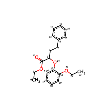 CCOC(=O)C(CCc1ccccc1)Oc1ccccc1OCC